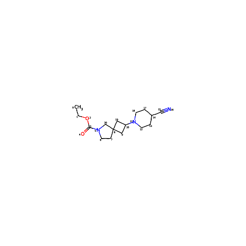 CCOC(=O)N1CCC2(CC(N3CCC(C#N)CC3)C2)C1